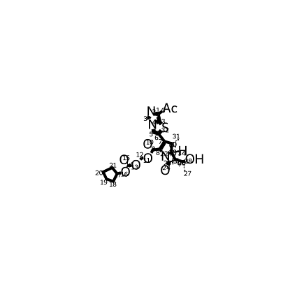 CC(=O)c1ncn2cc(C3=C(C(=O)OCOC(=O)OC4CCCC4)N4C(=O)[C@H]([C@@H](C)O)[C@H]4[C@H]3C)sc12